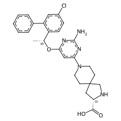 C[C@@H](Oc1cc(N2CCC3(CC2)CN[C@H](C(=O)O)C3)nc(N)n1)c1ccc(Cl)cc1-c1ccccc1